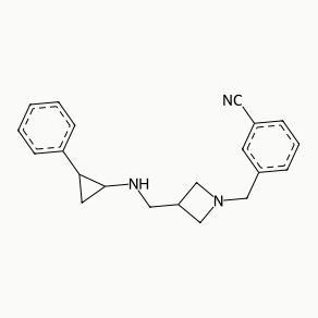 N#Cc1cccc(CN2CC(CNC3CC3c3ccccc3)C2)c1